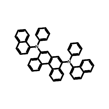 c1ccc(N(c2cccc3ccccc23)c2cc3cc(N(c4ccccc4)c4cccc5ccccc45)c4ccccc4c3c3ccccc23)cc1